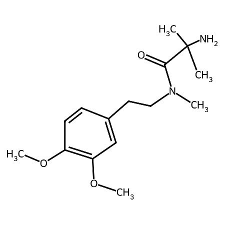 COc1ccc(CCN(C)C(=O)C(C)(C)N)cc1OC